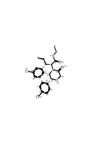 CCC[C@@H](C(=O)OCC)N1C(=O)CO[C@H](c2ccc(Cl)cc2)[C@@H]1c1ccc(Cl)cc1